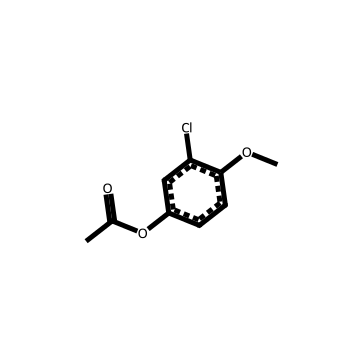 COc1ccc(OC(C)=O)cc1Cl